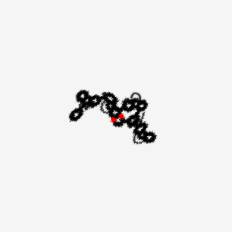 c1ccc(-c2cc(-c3ccc4c(c3)oc3ccccc34)nc(-c3cccc4oc5ccc(-c6cccc7oc8c(-c9ccc%10c(c9)c9ccccc9n%10-c9ccccc9)cccc8c67)cc5c34)c2)cc1